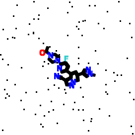 CC(=O)N1CCN(c2ncc(-c3cc(-c4cnn(C)c4)cn4ncc(C#N)c34)cc2F)CC1